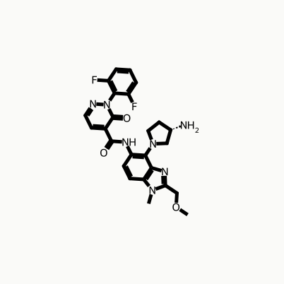 COCc1nc2c(N3CC[C@H](N)C3)c(NC(=O)c3ccnn(-c4c(F)cccc4F)c3=O)ccc2n1C